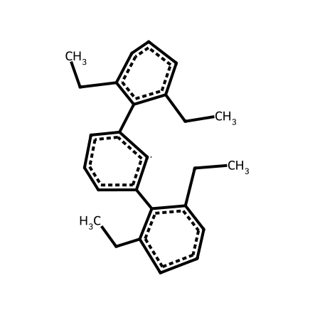 CCc1cccc(CC)c1-c1[c]c(-c2c(CC)cccc2CC)ccc1